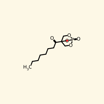 CCCCCCCC(=O)C12COP(=O)(OC1)OC2